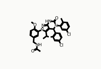 COc1ccc(CNC(C)=O)cc1-n1nc2c(c1C(C)C)C(c1ccc(Cl)cc1C)N(c1cc(Cl)ccc1C)C(=O)N2